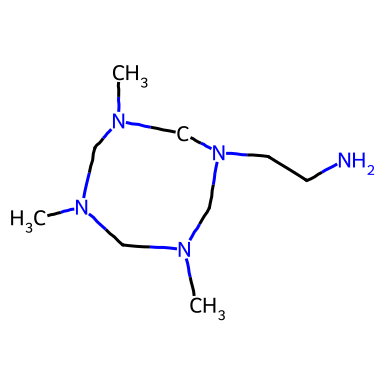 CN1CN(C)CN(CCN)CN(C)C1